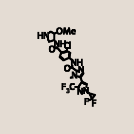 COC1CNCC1NC(=O)c1ccc(NC(=O)c2ncc(-c3cn(C4CC4(F)F)nc3C(F)(F)F)n2C)cc1Cl